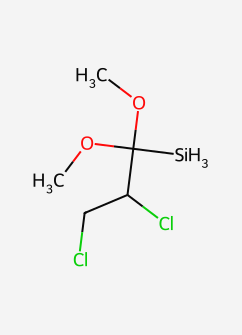 COC([SiH3])(OC)C(Cl)CCl